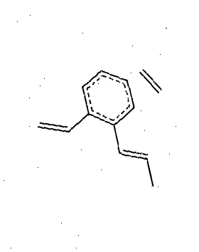 C=C.C=Cc1ccccc1C=CC